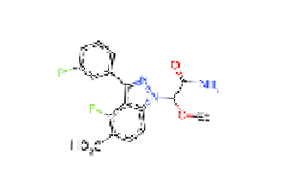 CCOC(C(N)=O)n1nc(-c2cccc(F)c2)c2c(F)c(C(=O)O)ccc21